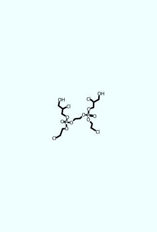 O=P(OCCCl)(OCCOP(=O)(OCCCl)OCC(Cl)CO)OCC(Cl)CO